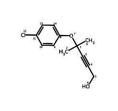 CC(C)(C#CCO)Oc1ccc(Cl)cc1